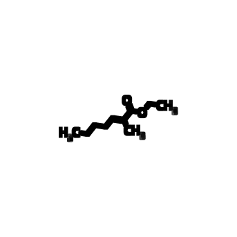 CCCC/C=C(\C)C(=O)OCC